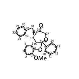 COc1ccccc1OC1(c2ccccc2)CCN(Cc2ccccc2)C(=O)CO1